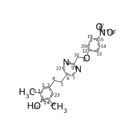 Cc1cc(CCc2cnc(COc3ccc([N+](=O)[O-])cc3)nc2)cc(C)c1O